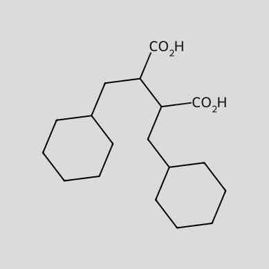 O=C(O)C(CC1CCCCC1)C(CC1CCCCC1)C(=O)O